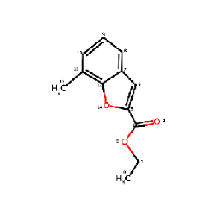 CCOC(=O)c1cc2cccc(C)c2o1